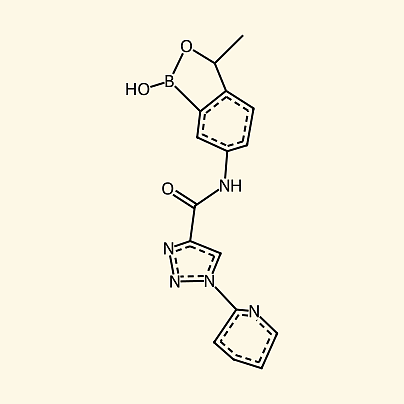 CC1OB(O)c2cc(NC(=O)c3cn(-c4ccccn4)nn3)ccc21